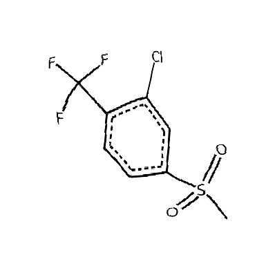 CS(=O)(=O)c1ccc(C(F)(F)F)c(Cl)c1